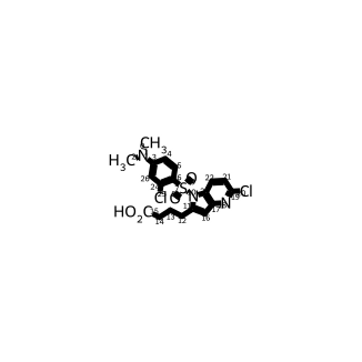 CN(C)c1ccc(S(=O)(=O)n2c(CCCC(=O)O)cc3nc(Cl)ccc32)c(Cl)c1